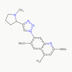 CNc1cc(C)c2cc(OC)c(-n3cc(C4CCCN4C)nn3)cc2n1